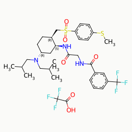 CSc1ccc(S(=O)(=O)C[C@@H]2CC[C@@H](N(CC(C)C)CC(C)C)C[C@@H]2NC(=O)CNC(=O)c2cccc(C(F)(F)F)c2)cc1.O=C(O)C(F)(F)F